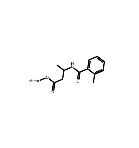 CCCCCCCOC(=O)CC(C)NC(=O)c1ccccc1C